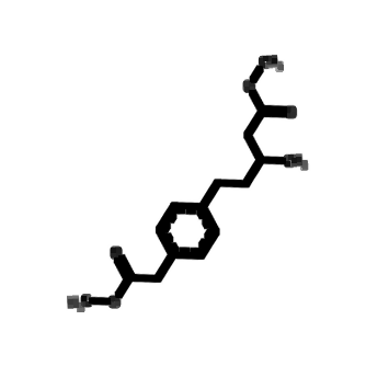 COC(=O)Cc1ccc(CCC(C)CC(=O)OC)cc1